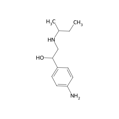 CCC(C)NCC(O)c1ccc(N)cc1